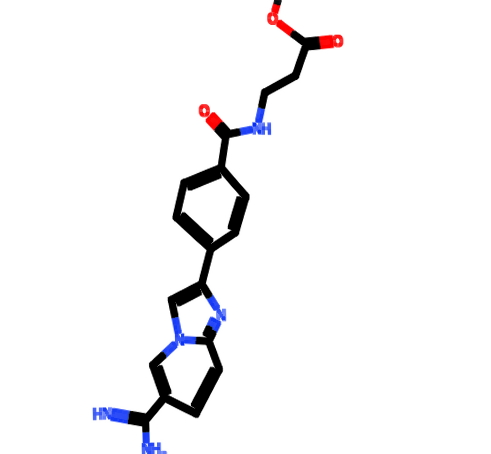 CC(C)(C)OC(=O)CCNC(=O)c1ccc(-c2cn3cc(C(=N)N)ccc3n2)cc1